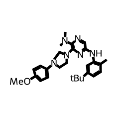 COc1ccc(N2CCN(c3nc(Nc4cc(C(C)(C)C)ccc4C)cnc3N(C)C)CC2)cc1